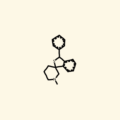 CN1CCCC2(C1)SC(c1ccccc1)c1ccccc12